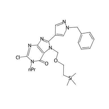 CCCn1c(Cl)nc2nc(-c3cnn(Cc4ccccc4)c3)n(COCC[Si](C)(C)C)c2c1=O